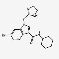 O=C(NC1CCCCC1)c1cn(CC2=NCCN2)c2cc(Br)ccc12